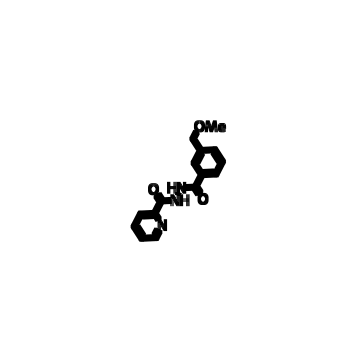 COCc1cccc(C(=O)NNC(=O)c2ccccn2)c1